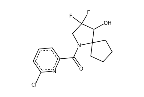 O=C(c1cccc(Cl)n1)N1CC(F)(F)C(O)C12CCCC2